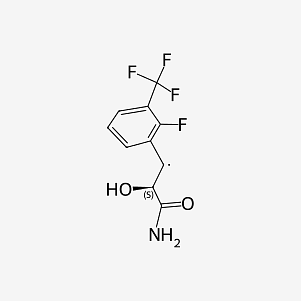 NC(=O)[C@@H](O)[CH]c1cccc(C(F)(F)F)c1F